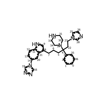 c1ccc(C(CCCc2c[nH]c3ccc(-n4cnnc4)cc23)(CCn2ccnc2)N2CCNCC2)cc1